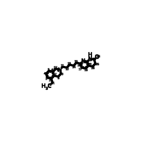 CCc1cccc2c1CCN(CCCCCc1ccc3c(n1)NC(=O)CC3)C2